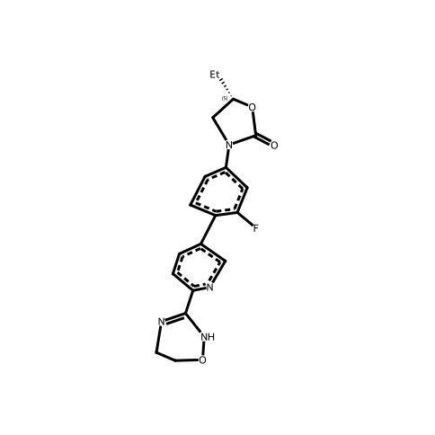 CC[C@H]1CN(c2ccc(-c3ccc(C4=NCCON4)nc3)c(F)c2)C(=O)O1